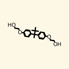 CC(C)(C)C(C)(c1ccc(OCCO)cc1)c1ccc(OCCO)cc1